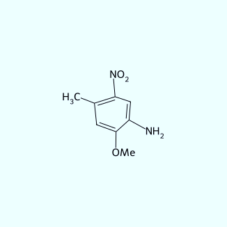 COc1cc(C)c([N+](=O)[O-])cc1N